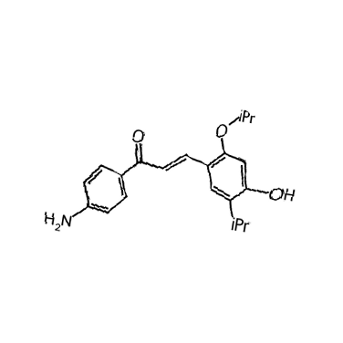 CC(C)Oc1cc(O)c(C(C)C)cc1C=CC(=O)c1ccc(N)cc1